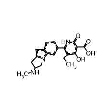 CCc1c(-c2ccc3cc4n(c3c2)CC(NC)C4)[nH]c(=O)c(C(=O)O)c1O